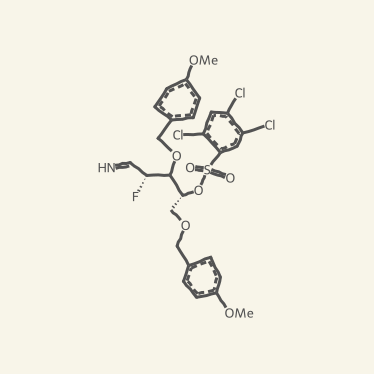 COc1ccc(COC[C@@H](OS(=O)(=O)c2cc(Cl)c(Cl)cc2Cl)C(OCc2ccc(OC)cc2)[C@H](F)C=N)cc1